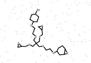 SC1CCC(OCCSCC(CSCCOC2CCC3SC3C2)(CSCC2CS2)CSCC2CS2)CC1